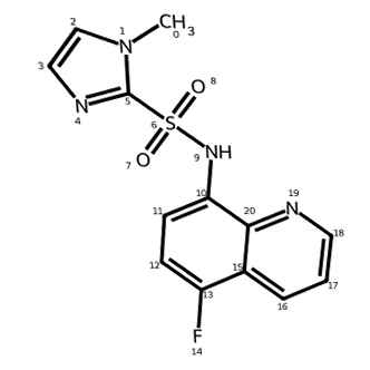 Cn1ccnc1S(=O)(=O)Nc1ccc(F)c2cccnc12